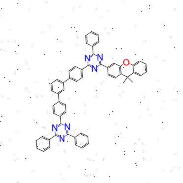 CC1(C)c2ccccc2Oc2cc(-c3nc(-c4ccccc4)nc(-c4ccc(-c5cccc(-c6ccc(-c7nc(C8=CCCC=C8)nc(-c8ccccc8)n7)cc6)c5)cc4)n3)ccc21